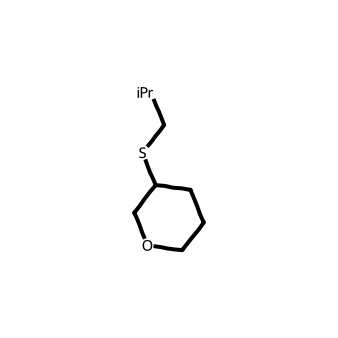 [CH2]C(C)CSC1CCCOC1